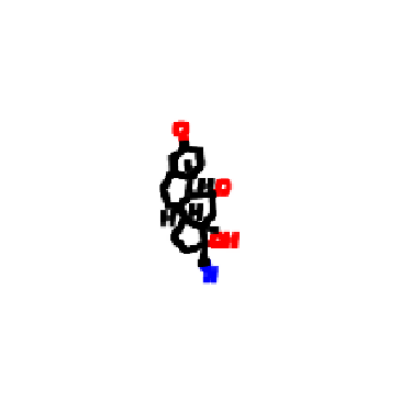 C[C@]12C=CC(=O)C=C1CC[C@@H]1[C@@H]2C(=O)C[C@@]2(C)[C@H]1CC[C@]2(O)C#N